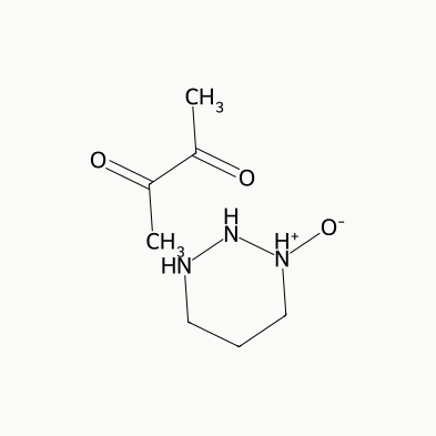 CC(=O)C(C)=O.[O-][NH+]1CCCNN1